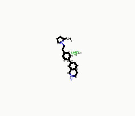 CC1CCCN1CCc1ccc(-c2ccc3c(c2)CNCC3)cc1.Cl.Cl